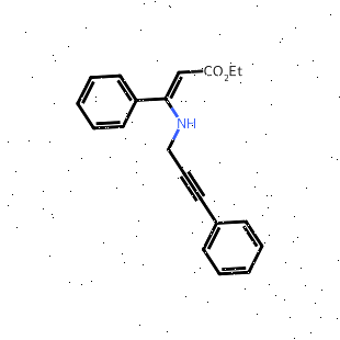 CCOC(=O)/C=C(\NCC#Cc1ccccc1)c1ccccc1